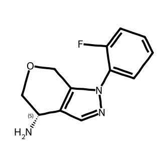 N[C@@H]1COCc2c1cnn2-c1ccccc1F